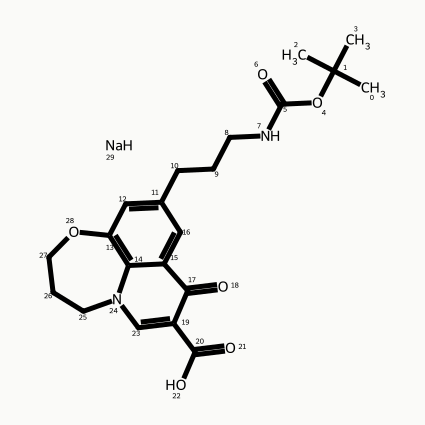 CC(C)(C)OC(=O)NCCCc1cc2c3c(c1)c(=O)c(C(=O)O)cn3CCCO2.[NaH]